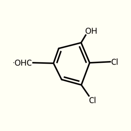 O=[C]c1cc(O)c(Cl)c(Cl)c1